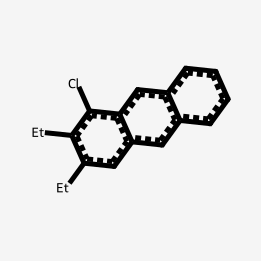 CCc1cc2cc3ccccc3cc2c(Cl)c1CC